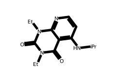 CCn1c(=O)c2c(NC(C)C)ccnc2n(CC)c1=O